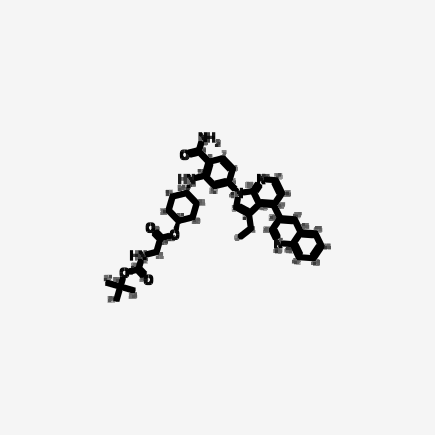 CCc1cn(-c2ccc(C(N)=O)c(N[C@H]3CC[C@H](OC(=O)CNC(=O)OC(C)(C)C)CC3)c2)c2nccc(-c3cnc4ccccc4c3)c12